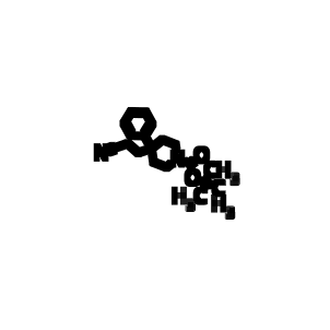 CC(C)(C)OC(=O)N1CCC(CCC#N)(c2ccccc2)CC1